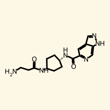 NCCC(=O)N[C@H]1CC[C@H](NC(=O)c2cc3cn[nH]c3cn2)CC1